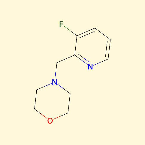 Fc1cccnc1CN1CCOCC1